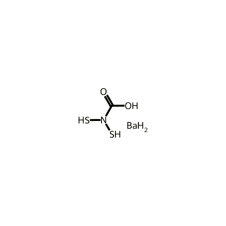 O=C(O)N(S)S.[BaH2]